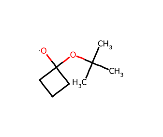 CC(C)(C)OC1([O])CCC1